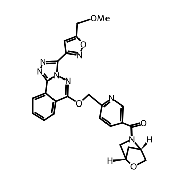 COCc1cc(-c2nnc3c4ccccc4c(OCc4ccc(C(=O)N5C[C@@H]6C[C@H]5CO6)cn4)nn23)no1